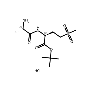 C[C@H](N)C(=O)N[C@@H](CCS(C)(=O)=O)C(=O)OC(C)(C)C.Cl